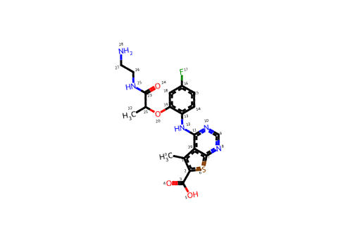 Cc1c(C(=O)O)sc2ncnc(Nc3ccc(F)cc3OC(C)C(=O)NCCN)c12